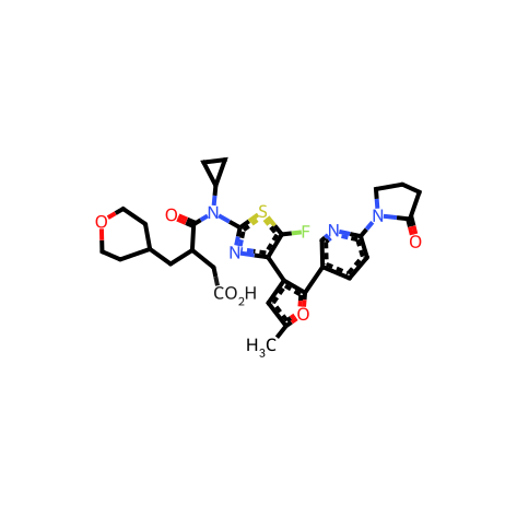 Cc1cc(-c2nc(N(C(=O)C(CC(=O)O)CC3CCOCC3)C3CC3)sc2F)c(-c2ccc(N3CCCC3=O)nc2)o1